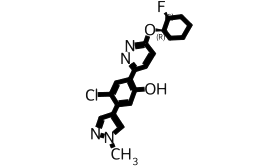 Cn1cc(-c2cc(O)c(-c3ccc(O[C@@H]4CCCC[C@@H]4F)nn3)cc2Cl)cn1